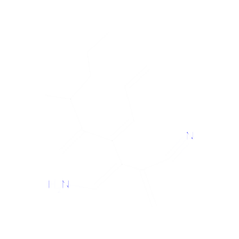 C=C/C=C(C(=C)C(C)CCC)/C(=C\N)C(=C)C#N